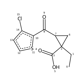 CCC1(C(=O)O)CC1C(=O)c1sccc1Cl